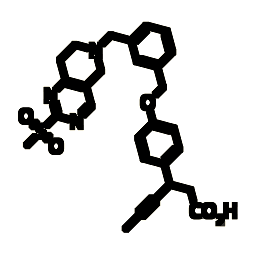 CC#CC(CC(=O)O)c1ccc(OCc2cccc(CN3CCc4nc(S(C)(=O)=O)ncc4C3)c2)cc1